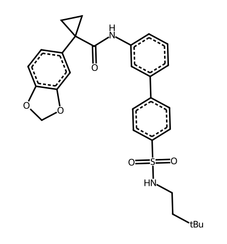 CC(C)(C)CCNS(=O)(=O)c1ccc(-c2cccc(NC(=O)C3(c4ccc5c(c4)OCO5)CC3)c2)cc1